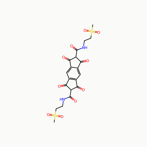 CS(=O)(=O)CCNC(=O)C1C(=O)c2cc3c(cc2C1=O)C(=O)C(C(=O)NCCS(C)(=O)=O)C3=O